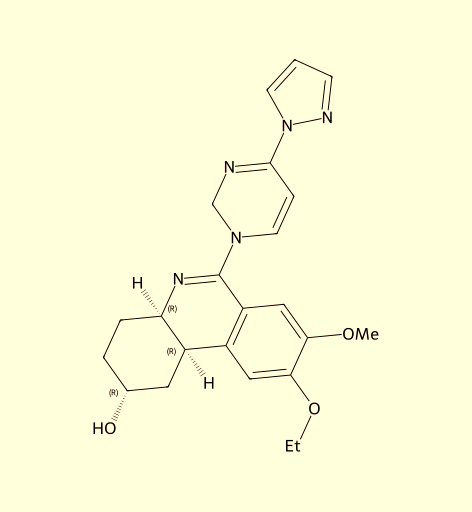 CCOc1cc2c(cc1OC)C(N1C=CC(n3cccn3)=NC1)=N[C@@H]1CC[C@@H](O)C[C@H]21